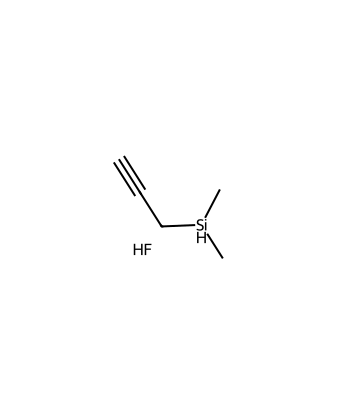 C#CC[SiH](C)C.F